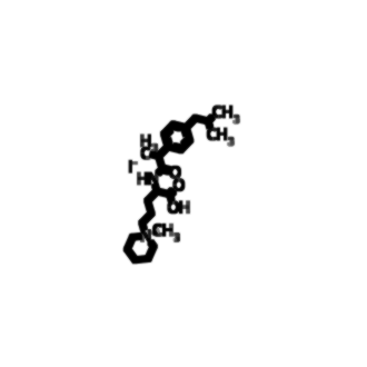 CC(C)Cc1ccc(C(C)C(=O)NC(CCC[N+]2(C)CCCCC2)C(=O)O)cc1.[I-]